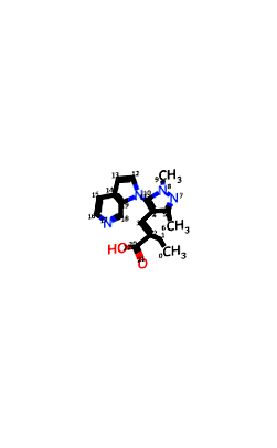 CCC(=Cc1c(C)nn(C)c1-n1ccc2ccncc21)C(=O)O